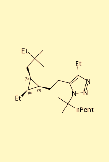 CCCCCC(C)(C)n1nnc(CC)c1CC[C@H]1[C@@H](CC)[C@H]1CC(C)(C)CC